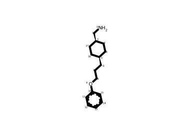 NC[C@H]1CC[C@@H](CCCOc2ccccc2)CC1